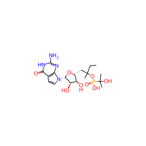 CCC(C)(C[C@H]1O[C@@H](n2ccc3c(=O)[nH]c(N)nc32)[C@H](O)[C@@H]1O)OP(=O)(O)C(C)(C)O